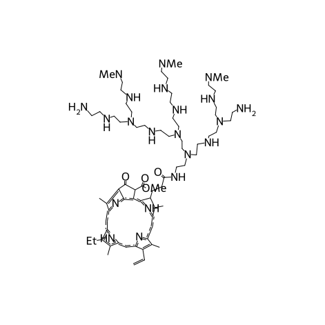 C=CC1=C(C)c2cc3[nH]c(c4c5nc(cc6[nH]c(cc1n2)c(C)c6CC)C(C)=C5C(=O)C4C(=O)OC)C(CCC(=O)NCCN(CCNCCN(CCN)CCNCCNC)CCN(CCNCCNCCNC)CCNCCN(CCNCCN)CCNCCNC)C3C